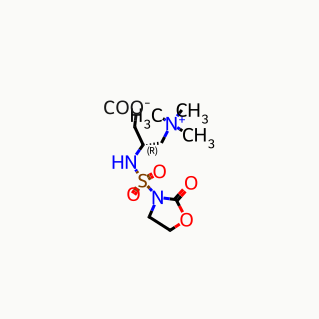 C[N+](C)(C)C[C@@H](CC(=O)[O-])NS(=O)(=O)N1CCOC1=O